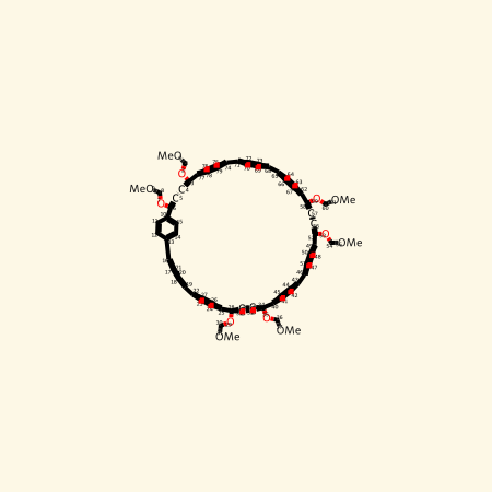 COCOC1=C=C=C(OCOC)c2ccc(cc2)-c2ccc(cc2)-c2ccc(cc2)C2(OCOC)CCC(OCOC)(CC2)c2ccc(cc2)-c2ccc(cc2)C(OCOC)=C=C=C(OCOC)c2ccc(cc2)-c2ccc(cc2)-c2ccc1cc2